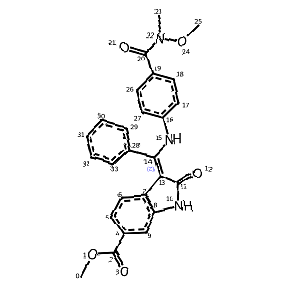 COC(=O)c1ccc2c(c1)NC(=O)/C2=C(\Nc1ccc(C(=O)N(C)OC)cc1)c1ccccc1